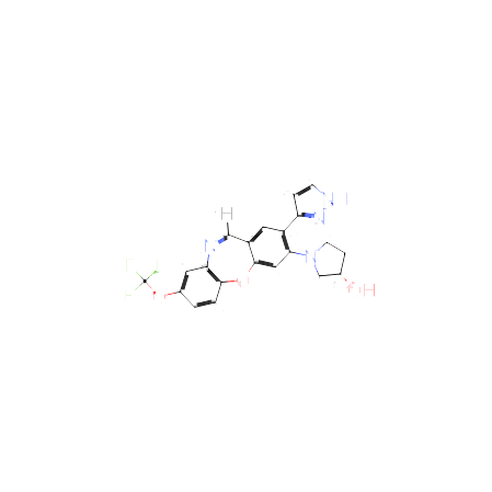 [2H]C1=Nc2cc(OC(F)(F)F)ccc2Oc2cc(N3CC[C@@H](O)C3)c(-c3cc[nH]n3)cc21